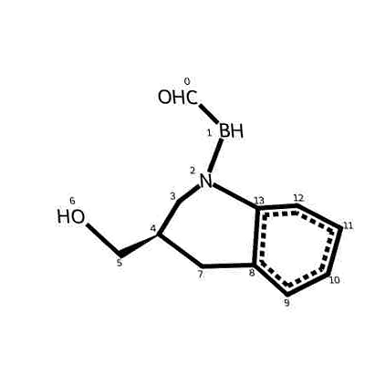 O=CBN1C[C@H](CO)Cc2ccccc21